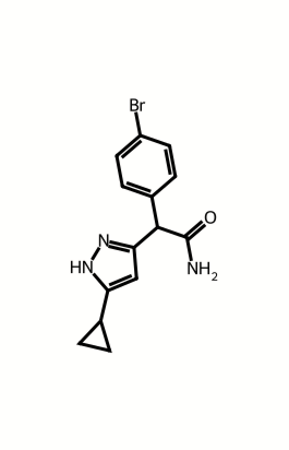 NC(=O)C(c1ccc(Br)cc1)c1cc(C2CC2)[nH]n1